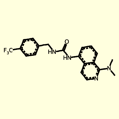 CN(C)c1nccc2c(NC(=O)NCc3ccc(C(F)(F)F)cc3)cccc12